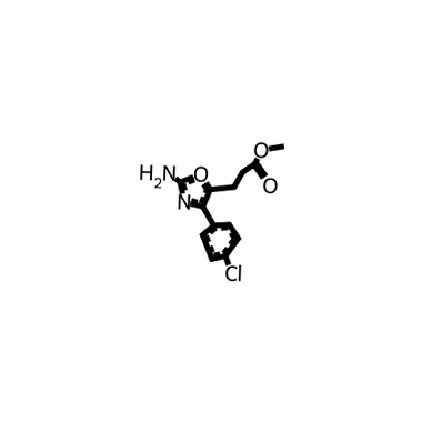 COC(=O)CCc1oc(N)nc1-c1ccc(Cl)cc1